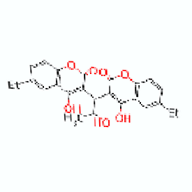 CCc1ccc2oc(=O)c(C(c3c(O)c4cc(CC)ccc4oc3=O)C(C)O)c(O)c2c1